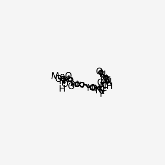 COc1ccc(C(=O)N2CCC3(CCC(CCN4CCC(n5cc(NC(=O)c6cnn7ccc(N8CCOCC8)nc67)c(C(F)F)n5)CC4)CC3)CC2)cc1N1CCC(=O)NC1=O